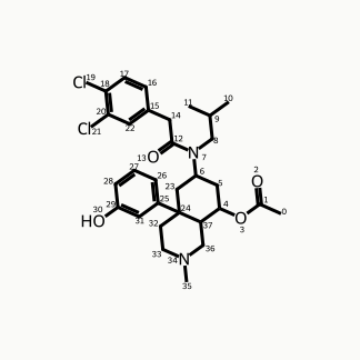 CC(=O)OC1CC(N(CC(C)C)C(=O)Cc2ccc(Cl)c(Cl)c2)CC2(c3cccc(O)c3)CCN(C)CC12